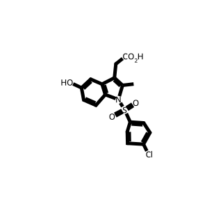 Cc1c(CC(=O)O)c2cc(O)ccc2n1S(=O)(=O)c1ccc(Cl)cc1